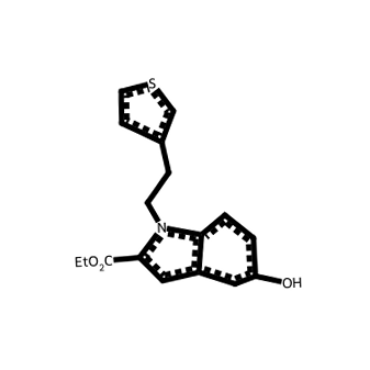 CCOC(=O)c1cc2cc(O)ccc2n1CCc1ccsc1